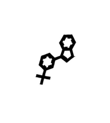 CC(C)(C)c1cccc(C2=C[CH]c3ccccc32)c1